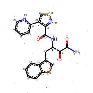 NC(=O)C(=O)C(Cc1csc2ccccc12)NC(=O)c1nscc1-c1ccccn1